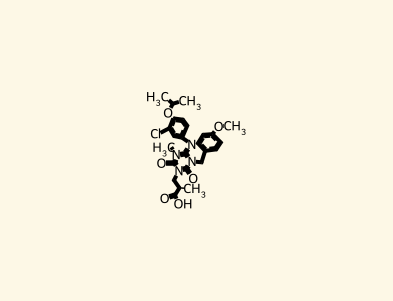 COc1ccc(Cn2c(=Nc3ccc(OC(C)C)c(Cl)c3)n(C)c(=O)n(C[C@H](C)C(=O)O)c2=O)cc1